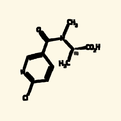 C[C@@H](C(=O)O)N(C)C(=O)c1ccc(Cl)nc1